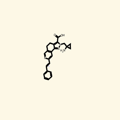 NC1(Cn2nc3c(c2C(=O)O)CCc2cnc(/C=C/c4ccccc4)cc2-3)CC1